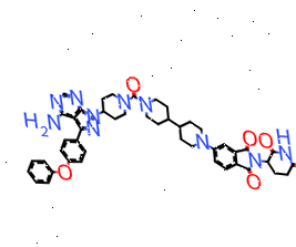 Nc1ncnc2c1c(-c1ccc(Oc3ccccc3)cc1)nn2C1CCN(C(=O)N2CCC(C3CCN(c4ccc5c(c4)C(=O)N(C4CCC(=O)NC4=O)C5=O)CC3)CC2)CC1